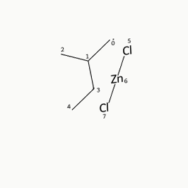 [CH2]C(C)CC.[Cl][Zn][Cl]